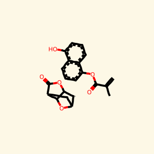 C=C(C)C(=O)Oc1cccc2c(O)cccc12.O=C1OC2[CH]C3CC1C2O3